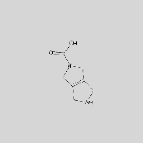 O=C(O)N1CC2=C(CNC2)C1